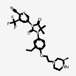 CCc1cc(N2C(=S)N(c3cnc(C#N)c(C(F)(F)F)c3)C(=O)C2(C)C)ccc1OCCN1CCN[C@H](C)C1